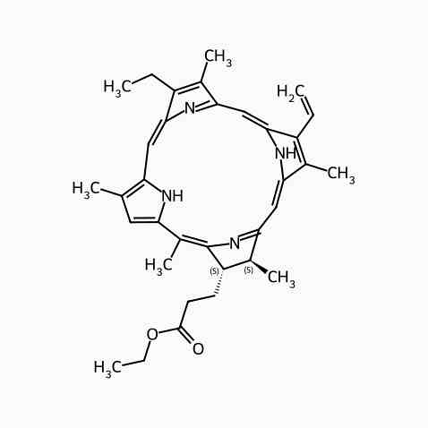 C=Cc1c(C)c2cc3nc(c(C)c4cc(C)c(cc5nc(cc1[nH]2)C(C)=C5CC)[nH]4)[C@@H](CCC(=O)OCC)[C@@H]3C